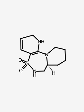 O=S1(=O)NC[C@@H]2CCCCN2C2=C1C=CCN2